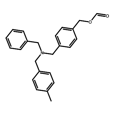 Cc1ccc(CN(Cc2ccccc2)Cc2ccc(COC=O)cc2)cc1